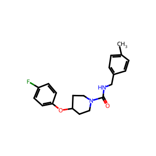 Cc1ccc(CNC(=O)N2CCC(Oc3ccc(F)cc3)CC2)cc1